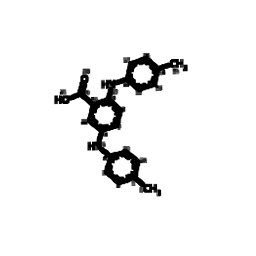 Cc1ccc(Nc2ccc(Nc3ccc(C)cc3)c(C(=O)O)c2)cc1